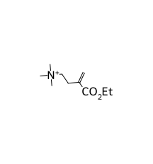 C=C(CC[N+](C)(C)C)C(=O)OCC